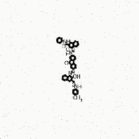 Cc1ccc(NOCc2cc3ccccc3c(N=Nc3ccc4c(c3)C(=O)c3cc(N=Nc5c(O)c(C(=O)Nc6ccccc6)cc6ccccc56)ccc3-4)c2O)cc1